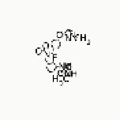 CNS(=O)(=O)Nc1cccc(CN2Cc3ccc(Oc4ccn(C)n4)cc3OC2=O)c1F